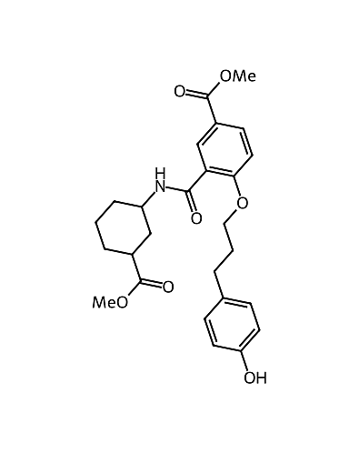 COC(=O)c1ccc(OCCCc2ccc(O)cc2)c(C(=O)NC2CCCC(C(=O)OC)C2)c1